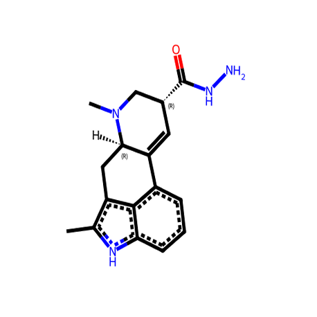 Cc1[nH]c2cccc3c2c1C[C@@H]1C3=C[C@@H](C(=O)NN)CN1C